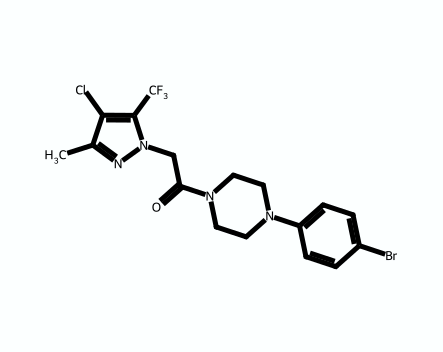 Cc1nn(CC(=O)N2CCN(c3ccc(Br)cc3)CC2)c(C(F)(F)F)c1Cl